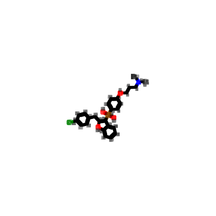 CCN(CC)CCCOc1ccc(S(=O)(=O)c2c(Cc3ccc(Cl)cc3)oc3ccccc23)cc1